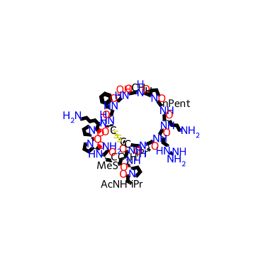 CCCCC[C@@H]1NC(=O)[C@H](CCCCN)NC(=O)[C@H](CCCNC(=N)N)NC(=O)[C@H](CC(C)C)NC(=O)C(NC(=O)[C@H](CCSC)NC(=O)[C@@H]2CCCN2C(=O)[C@@H](NC(C)=O)C(C)C)CCSSC[C@@H](C(=O)NC(CCCCN)C(=O)N2CCC[C@H]2C(=O)N2CCC[C@H]2C(=O)N[C@@H](CCC(=O)O)C(N)=O)NC(=O)[C@H](Cc2ccccc2)NC(=O)[C@H](CO)NC(=O)C(C)NC(=O)[C@@H]2CCCN2C1=O